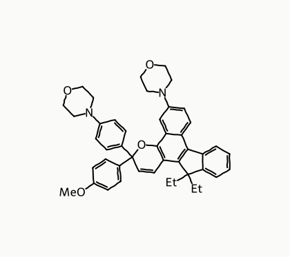 CCC1(CC)c2ccccc2-c2c1c1c(c3cc(N4CCOCC4)ccc23)OC(c2ccc(OC)cc2)(c2ccc(N3CCOCC3)cc2)C=C1